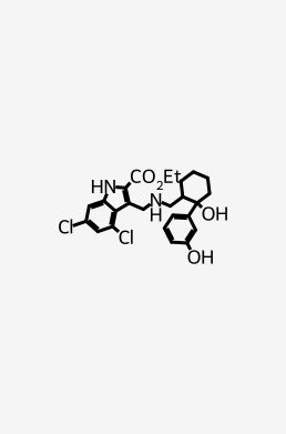 CCOC(=O)c1[nH]c2cc(Cl)cc(Cl)c2c1CNCC1CCCCC1(O)c1cccc(O)c1